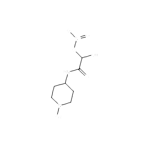 CC(O[N+](=O)[O-])C(=O)NC1CCN(C)CC1